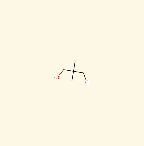 CC(C)(C[O])CCl